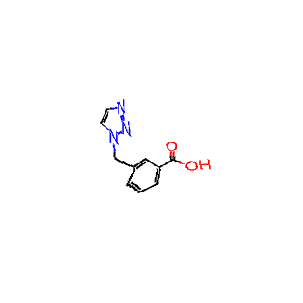 O=C(O)c1cccc(Cn2ccnn2)c1